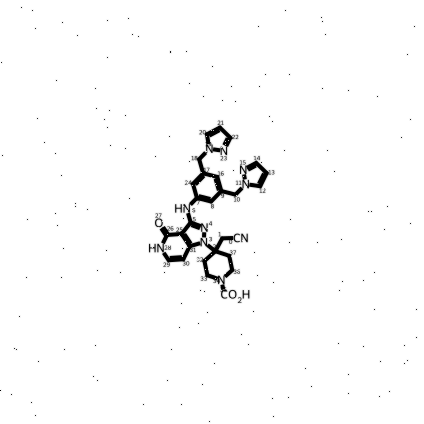 N#CCC1(n2nc(Nc3cc(Cn4cccn4)cc(Cn4cccn4)c3)c3c(=O)[nH]ccc32)CCN(C(=O)O)CC1